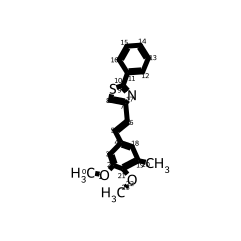 COc1cc(/C=C/c2csc(-c3ccccc3)n2)cc(C)c1OC